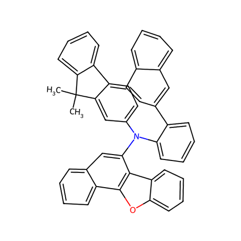 CC1(C)c2ccccc2-c2ccc(N(c3ccccc3-c3ccc4ccccc4c3)c3cc4ccccc4c4oc5ccccc5c34)cc21